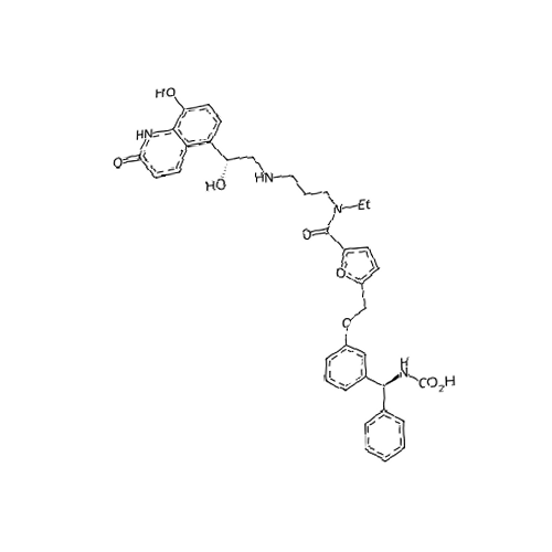 CCN(CCCNC[C@H](O)c1ccc(O)c2[nH]c(=O)ccc12)C(=O)c1ccc(COc2cccc([C@@H](NC(=O)O)c3ccccc3)c2)o1